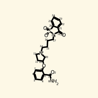 NC(=O)c1ccccc1OC1CCN(CCCCN2C(=O)c3ccccc3S2(=O)=O)C1